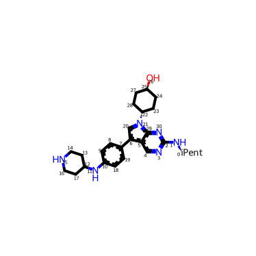 CCC[C@H](C)Nc1ncc2c(-c3ccc(NC4CCNCC4)cc3)cn([C@H]3CC[C@H](O)CC3)c2n1